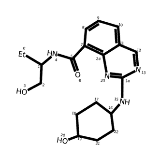 CCC(CO)NC(=O)c1cccc2cnc(NC3CCC(O)CC3)nc12